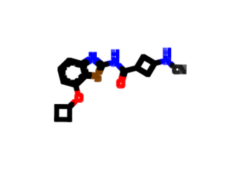 N#CNC1CC(C(=O)Nc2nc3cccc(OC4CCC4)c3s2)C1